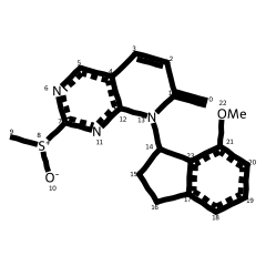 C=C1C=Cc2cnc([S+](C)[O-])nc2N1C1CCc2cccc(OC)c21